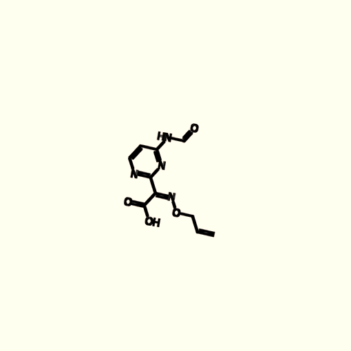 C=CCON=C(C(=O)O)c1nccc(NC=O)n1